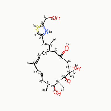 C/C1=C/C[C@@H](/C(C)=C/c2csc(CO)n2)CC(=O)C[C@H](O)C(C)(C)C(=O)[C@H](C)[C@@H](O)[C@@H](C)/C=C/C1